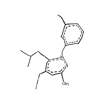 CCc1c(O)nn(-c2cccc(C)c2)c1CC(C)C